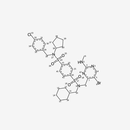 CNc1ncc(Br)c(CN(CC2CCCCC2)S(=O)(=O)c2ccc(S(=O)(=O)N(Cc3ccc(Cl)cc3)C3CCCC3)cc2)n1